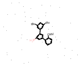 Bc1cc(-c2cc(C(C)(C)C)cc(C(C)(C)C)c2)cc(-c2ccccc2OC)c1